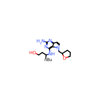 CCCCC(CCO)Nc1nc(N)nc2ccn(CC3CCCO3)c12